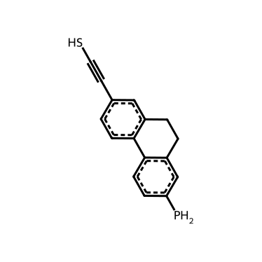 Pc1ccc2c(c1)CCc1cc(C#CS)ccc1-2